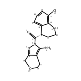 Nc1c2c(nn1C(=O)[C@H]1CCNc3c(Cl)cccc31)COCC2